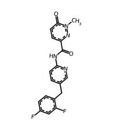 Cn1nc(C(=O)Nc2ccc(Cc3ccc(F)cc3F)cn2)ccc1=O